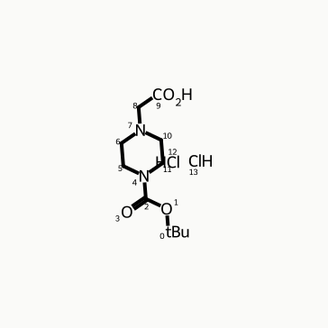 CC(C)(C)OC(=O)N1CCN(CC(=O)O)CC1.Cl.Cl